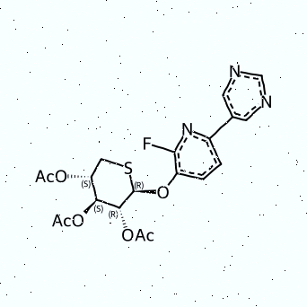 CC(=O)O[C@@H]1[C@@H](OC(C)=O)[C@H](OC(C)=O)CS[C@H]1Oc1ccc(-c2cncnc2)nc1F